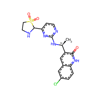 C[C@H](Nc1nccc(C2NCCS2(=O)=O)n1)c1cc2cc(Cl)ccc2[nH]c1=O